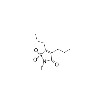 CCCC1=C(CCC)S(=O)(=O)N(I)C1=O